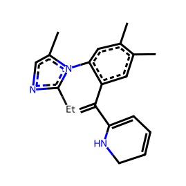 C=C(C1=CC=CCN1)c1cc(C)c(C)cc1-n1c(C)cnc1CC